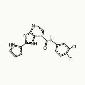 O=C(Nc1ccc(F)c(Cl)c1)c1ccnc2nc(-c3ccc[nH]3)[nH]c12